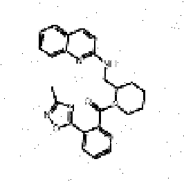 Cc1noc(-c2ccccc2C(=O)N2CCCCC2CNc2ccc3ccccc3n2)n1